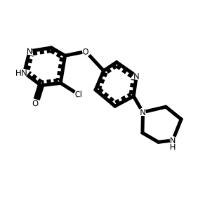 O=c1[nH]ncc(Oc2ccc(N3CCNCC3)nc2)c1Cl